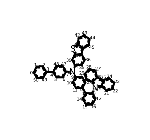 c1ccc(-c2ccc(N(c3ccc(-c4ccccc4-n4c5ccccc5c5ccccc54)cc3)c3ccc4c(c3)sc3ccccc34)cc2)cc1